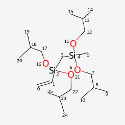 C=C[Si](C[Si](C)(OCC(C)C)OCC(C)C)(OCC(C)C)OCC(C)C